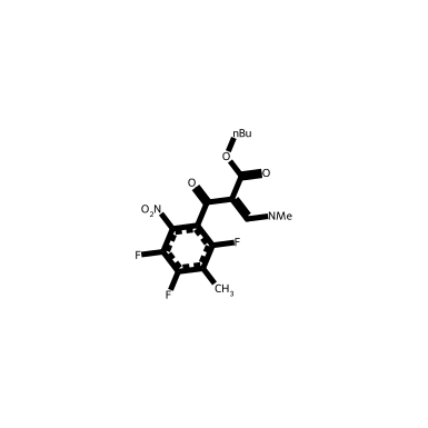 CCCCOC(=O)C(=CNC)C(=O)c1c(F)c(C)c(F)c(F)c1[N+](=O)[O-]